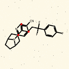 N#Cc1ccc(N2C3CCC2CN(C(=O)CCC(F)(F)c2ccc(F)cc2)C3)nc1